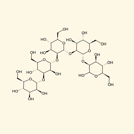 OC[C@H]1O[C@H](O[C@@H]2[C@H](O)[C@@H](O[C@@H]3[C@@H](O[C@@H]4[C@@H](O[C@@H]5C(O)O[C@H](CO)[C@@H](O)[C@@H]5O)O[C@H](CO)[C@@H](O)[C@@H]4O)O[C@H](CO)[C@@H](O)[C@@H]3O)O[C@H](CO)[C@H]2O)[C@@H](O)[C@@H](O)[C@@H]1O